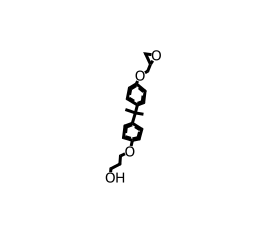 CC(C)(c1ccc(OCCCO)cc1)c1ccc(OCC2CO2)cc1